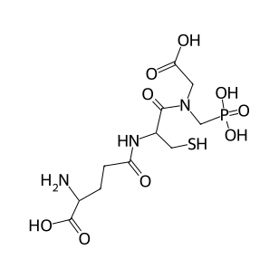 NC(CCC(=O)NC(CS)C(=O)N(CC(=O)O)CP(=O)(O)O)C(=O)O